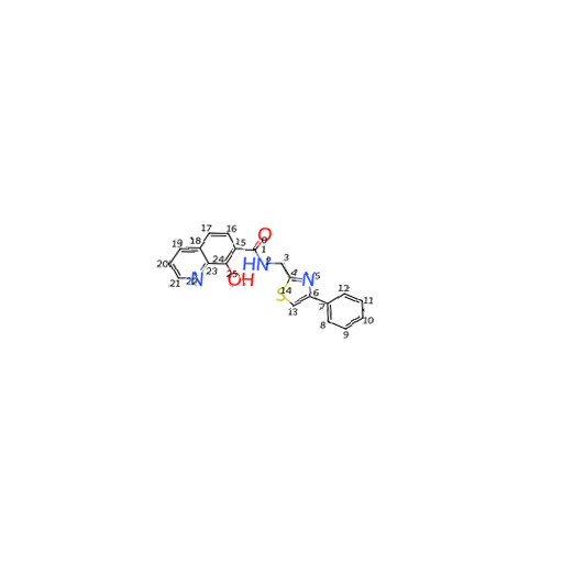 O=C(NCc1nc(-c2ccccc2)cs1)c1ccc2cccnc2c1O